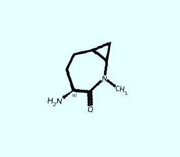 CN1C(=O)[C@@H](N)CCC2CC21